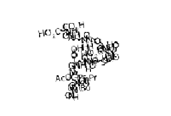 CCCC(=O)OCN(C(=O)C(NC(=O)[C@H]1CCCCN1C)[C@@H](C)CC)[C@H](C[C@@H](OC(C)=O)c1nc(C(=O)N[C@@H](Cc2ccc(O)cc2)C[C@H](C)C(=O)NNC(=O)OCCSSC[C@@H](C)NC(=O)[C@H](Cc2ccccc2)NC(=O)[C@H](CC(=O)O)NC(=O)Cc2ccc(CNC(=O)NCCCC[C@@H](C)NC(=O)N[C@@H](CCC(=O)O)C(=O)O)cc2)cs1)C(C)C